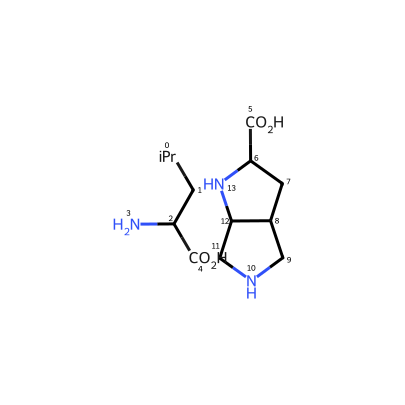 CC(C)CC(N)C(=O)O.O=C(O)C1CC2CNCC2N1